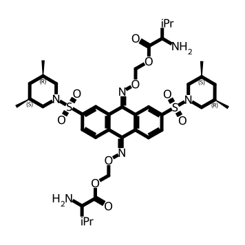 CC(C)C(N)C(=O)OCON=C1c2ccc(S(=O)(=O)N3C[C@H](C)C[C@H](C)C3)cc2C(=NOCOC(=O)C(N)C(C)C)c2cc(S(=O)(=O)N3C[C@H](C)C[C@H](C)C3)ccc21